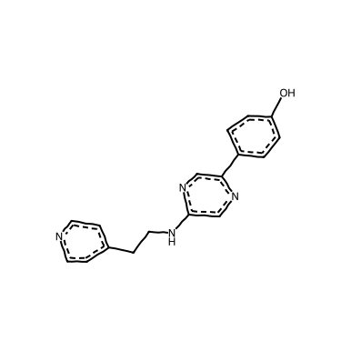 Oc1ccc(-c2cnc(NCCc3ccncc3)cn2)cc1